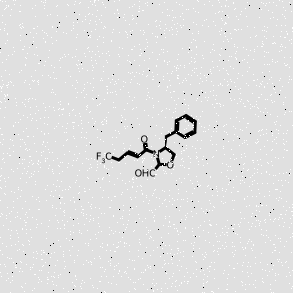 O=CC1OC[C@H](Cc2ccccc2)N1C(=O)/C=C/CC(F)(F)F